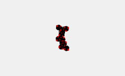 c1ccc(-c2nc(-c3ccccc3)nc(-c3ccc(-n4c5ccccc5c5c6oc7c(ccc8c7c7ccccc7n8-c7ccccc7)c6ccc54)cn3)n2)cc1